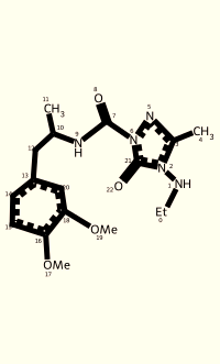 CCNn1c(C)nn(C(=O)NC(C)Cc2ccc(OC)c(OC)c2)c1=O